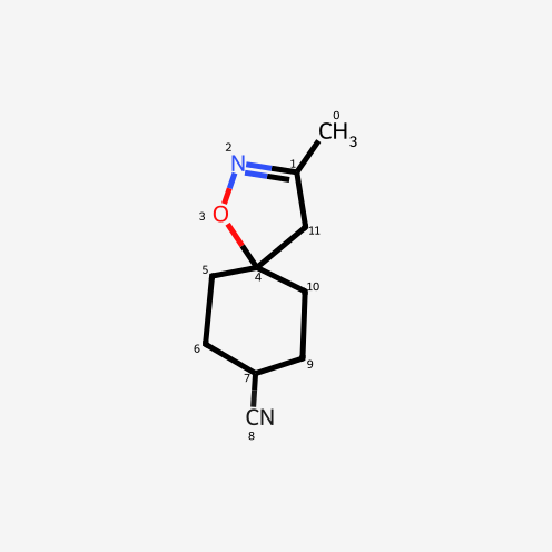 CC1=NOC2(CCC(C#N)CC2)C1